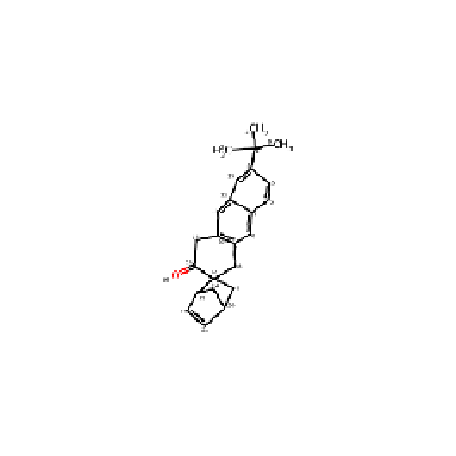 CC(C)(C)c1ccc2cc3c(cc2c1)CC(=O)C1(C3)CC2C=CC1C2